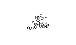 Cc1nc(-c2c(-c3ccc(NC(=O)OC(C)C)cc3)n(C3CCC3)c3cc(OC4CCOCC4)ccc23)oc1C